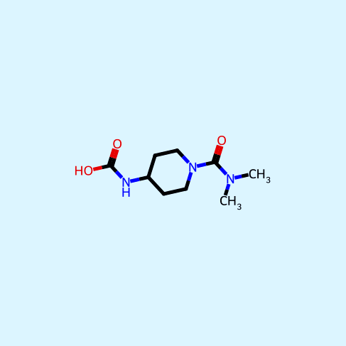 CN(C)C(=O)N1CCC(NC(=O)O)CC1